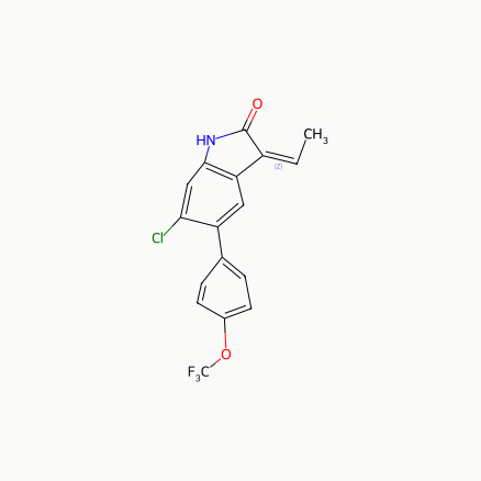 C/C=C1\C(=O)Nc2cc(Cl)c(-c3ccc(OC(F)(F)F)cc3)cc21